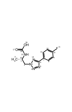 C[C@@H](Cn1nnc(-c2ccc(F)cc2)n1)NC(=O)O